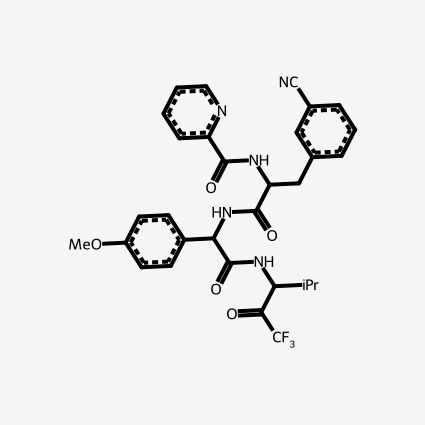 COc1ccc(C(NC(=O)C(Cc2cccc(C#N)c2)NC(=O)c2ccccn2)C(=O)NC(C(=O)C(F)(F)F)C(C)C)cc1